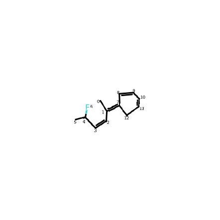 CC(/C=C\C(C)F)=C1\C=CC=CC1